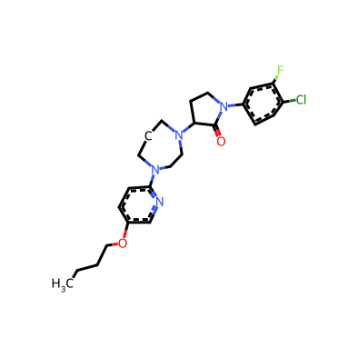 CCCCOc1ccc(N2CCCN(C3CCN(c4ccc(Cl)c(F)c4)C3=O)CC2)nc1